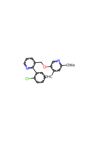 COc1cc(C=O)c(OCc2cccnc2-c2ccccc2Cl)cn1